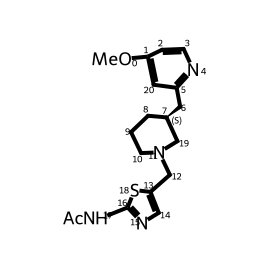 COc1ccnc(C[C@@H]2CCCN(Cc3cnc(NC(C)=O)s3)C2)c1